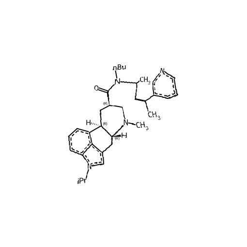 CCCCN(C(=O)[C@@H]1C[C@@H]2c3cccc4c3c(cn4C(C)C)C[C@H]2N(C)C1)C(C)CC(C)c1cccnc1